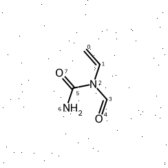 C=CN(C=O)C(N)=O